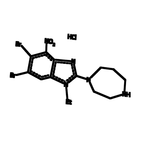 CCn1c(N2CCCNCC2)nc2c([N+](=O)[O-])c(Br)c(Br)cc21.Cl